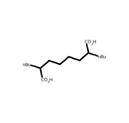 CCCCC(CCCCC(CCCC)C(=O)O)C(=O)O